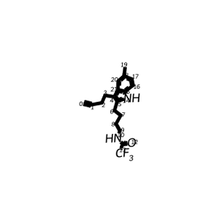 C#CCCc1c(CCCCNC(=O)C(F)(F)F)[nH]c2ccc(C)cc12